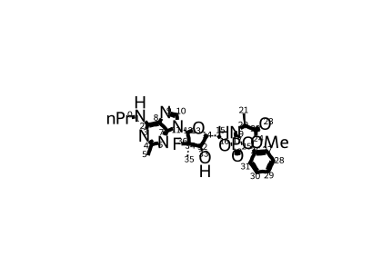 CCCNc1nc(C)nc2c1ncn2[C@@H]1O[C@H](COP(=O)(N[C@@H](C)C(=O)OC)Oc2ccccc2)[C@@H](O)[C@@]1(C)F